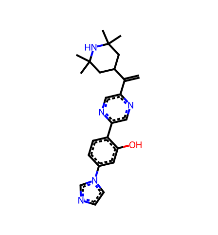 C=C(c1cnc(-c2ccc(-n3ccnc3)cc2O)cn1)C1CC(C)(C)NC(C)(C)C1